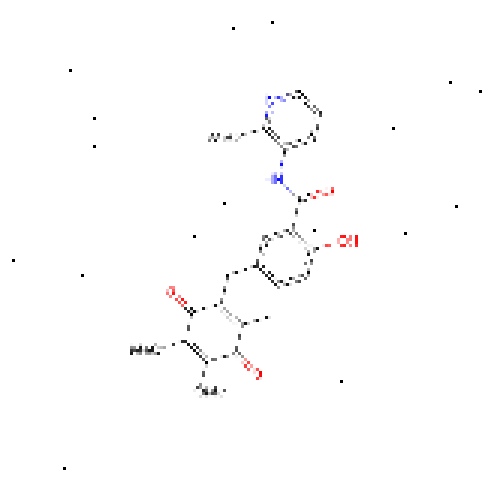 COC1=C(OC)C(=O)C(Cc2ccc(O)c(C(=O)Nc3cccnc3OC)c2)=C(C)C1=O